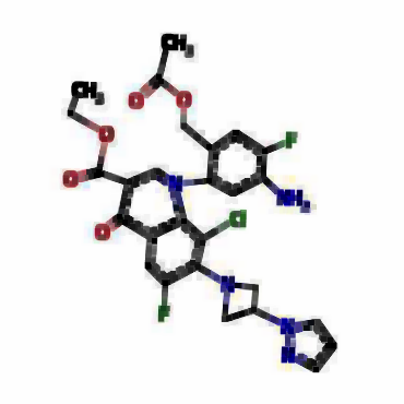 CCOC(=O)c1cn(-c2cc(N)c(F)cc2COC(C)=O)c2c(Cl)c(N3CC(n4cccn4)C3)c(F)cc2c1=O